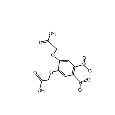 O=C(O)COc1cc([N+](=O)[O-])c([N+](=O)[O-])cc1OCC(=O)O